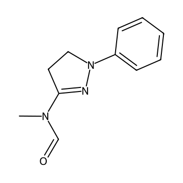 CN(C=O)C1=NN(c2ccccc2)CC1